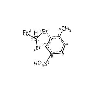 CC[SiH](CC)CC.Cc1ccc(S(=O)(=O)O)cc1